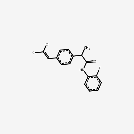 CC(C(=O)Nc1ccccc1F)c1ccc(C=C(Cl)Cl)cc1